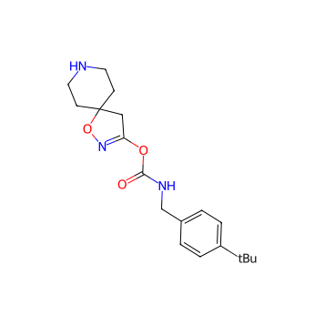 CC(C)(C)c1ccc(CNC(=O)OC2=NOC3(CCNCC3)C2)cc1